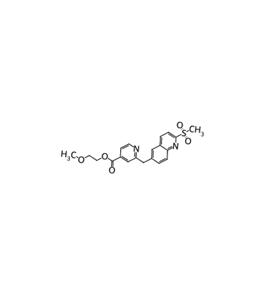 COCCOC(=O)c1ccnc(Cc2ccc3nc(S(C)(=O)=O)ccc3c2)c1